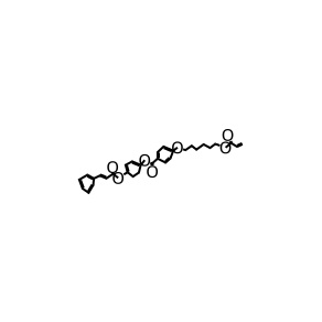 C=CC(=O)OCCCCCCOc1ccc(C(=O)OC2=CC=C(OC(=O)/C=C/c3ccccc3)CC2)cc1